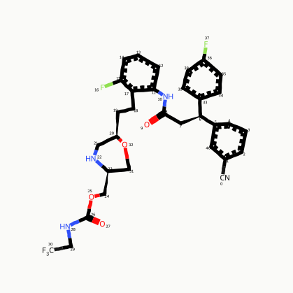 N#Cc1cccc([C@@H](CC(=O)Nc2cccc(F)c2CC[C@@H]2CN[C@H](COC(=O)NCC(F)(F)F)CO2)c2ccc(F)cc2)c1